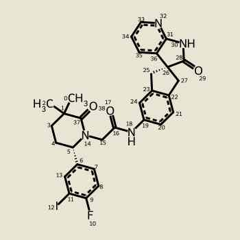 CC1(C)CC[C@@H](c2ccc(F)c(I)c2)N(CC(=O)Nc2ccc3c(c2)C[C@@]2(C3)C(=O)Nc3ncccc32)C1=O